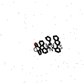 c1ccc(-c2nc(-c3cccc4c3-c3ccccc3C43c4ccccc4Oc4ccccc43)nc(-c3cccc4sc5cc6ccccc6cc5c34)n2)cc1